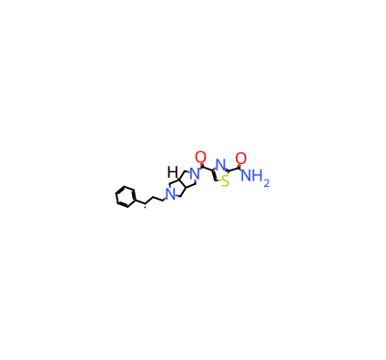 NC(=O)c1nc(C(=O)N2CC3CN(CC[CH]c4ccccc4)C[C@H]3C2)cs1